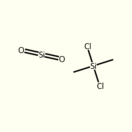 C[Si](C)(Cl)Cl.O=[Si]=O